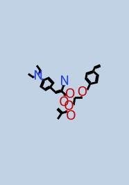 C=Cc1ccc(COCC(COC(=O)C(=C)C)OC(=O)/C(C#N)=C/c2ccc(N(CC)CC)cc2)cc1